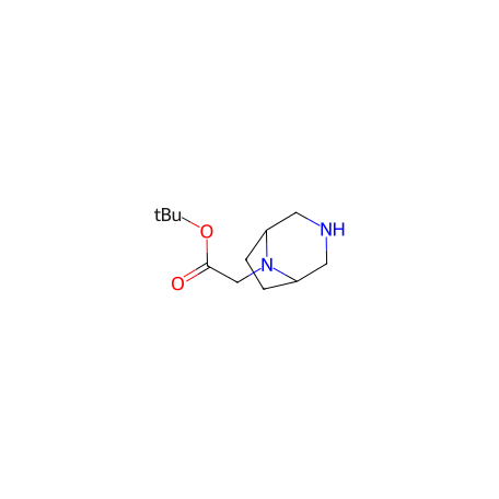 CC(C)(C)OC(=O)CN1C2CCC1CNC2